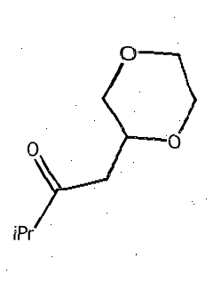 CC(C)C(=O)CC1COCCO1